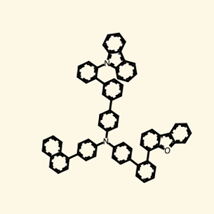 c1cc(-c2ccc(N(c3ccc(-c4ccccc4-c4cccc5c4oc4ccccc45)cc3)c3ccc(-c4cccc5ccccc45)cc3)cc2)cc(-c2ccccc2-n2c3ccccc3c3ccccc32)c1